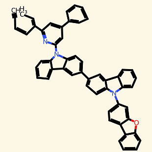 C#C/C=C\C(=C/C)c1cc(-c2ccccc2)cc(-n2c3ccccc3c3cc(-c4ccc5c(c4)c4ccccc4n5-c4ccc5c(c4)oc4ccccc45)ccc32)n1